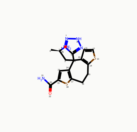 C[C@@H](N)CC1(c2nn[nH]n2)c2ccsc2CCc2sc(C(N)=O)cc21